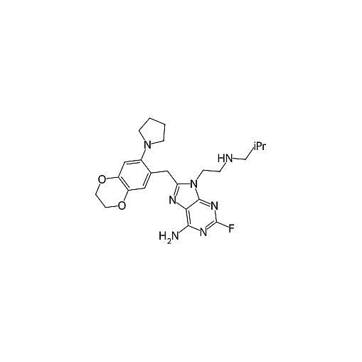 CC(C)CNCCn1c(Cc2cc3c(cc2N2CCCC2)OCCO3)nc2c(N)nc(F)nc21